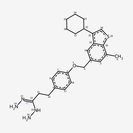 Cc1cc(COc2ccc(CC/C(=N/N)NN)cc2)cc2c(C3CCCCC3)csc12